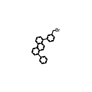 BrCc1cccc(-c2cccc3c2ccc2c(-c4ccccc4)cccc23)c1